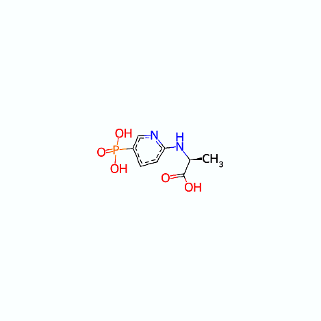 C[C@H](Nc1ccc(P(=O)(O)O)cn1)C(=O)O